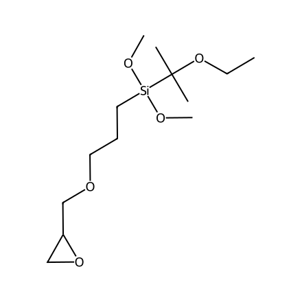 CCOC(C)(C)[Si](CCCOCC1CO1)(OC)OC